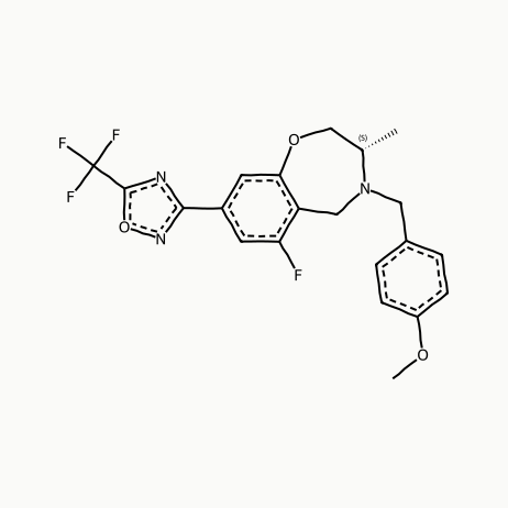 COc1ccc(CN2Cc3c(F)cc(-c4noc(C(F)(F)F)n4)cc3OC[C@@H]2C)cc1